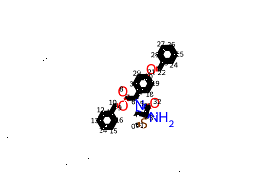 CSC1(N)CN(C(C(=O)OCc2ccccc2)c2ccc(OCc3ccccc3)cc2)C1=O